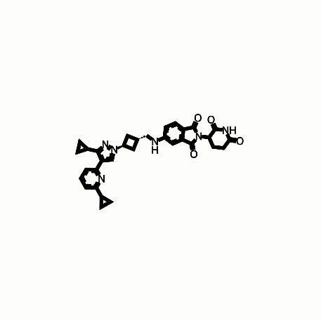 O=C1CCC(N2C(=O)c3ccc(NC[C@H]4C[C@H](n5cc(-c6cccc(C7CC7)n6)c(C6CC6)n5)C4)cc3C2=O)C(=O)N1